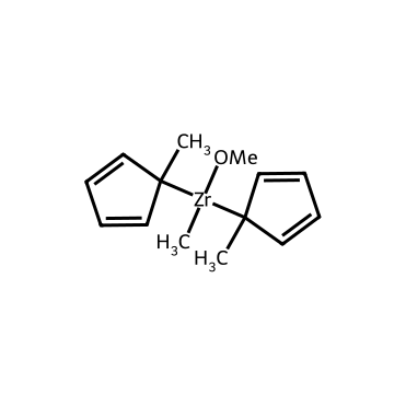 C[O][Zr]([CH3])([C]1(C)C=CC=C1)[C]1(C)C=CC=C1